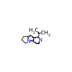 C=C(C)c1nccc2c1cc1n2CCC1